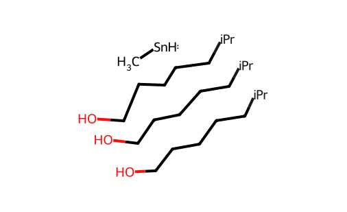 CC(C)CCCCCO.CC(C)CCCCCO.CC(C)CCCCCO.[CH3][SnH]